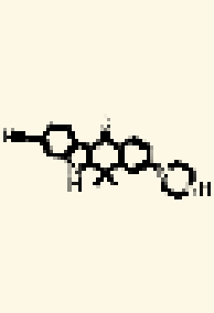 CC1(C)c2cc(N3CCNCC3)ccc2C(=O)c2c1[nH]c1cc(C#N)ccc21